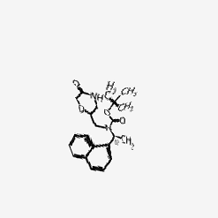 C[C@@H](c1cccc2ccccc12)N(CC1CNC(=O)CO1)C(=O)OC(C)(C)C